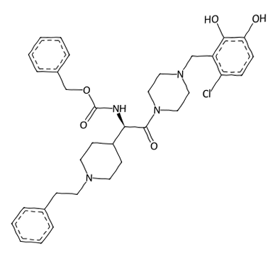 O=C(N[C@@H](C(=O)N1CCN(Cc2c(Cl)ccc(O)c2O)CC1)C1CCN(CCc2ccccc2)CC1)OCc1ccccc1